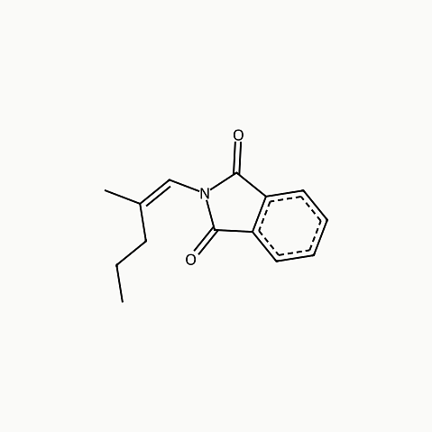 CCC/C(C)=C\N1C(=O)c2ccccc2C1=O